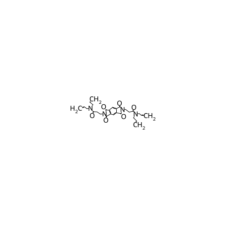 C=CCN(CC=C)C(=O)CCn1c(=O)c2cc3c(=O)n(CCC(=O)N(CC=C)CC=C)c(=O)c3cc2c1=O